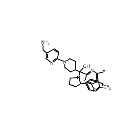 NCc1ccc(N2CCC(C(O)(c3nc(F)c(F)c(F)n3)N3CCCC3c3ccc(C(F)(F)F)cc3)CC2)nc1